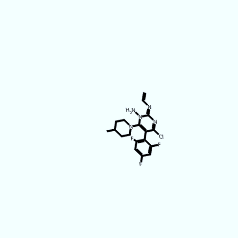 C=C/N=c1/nc(Cl)c(-c2c(F)cc(F)cc2F)c(N2CCC(C)CC2)n1N